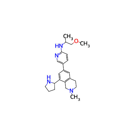 COCC(C)Nc1ccc(-c2cc3c(c(C4CCCN4)c2)CN(C)CC3)cn1